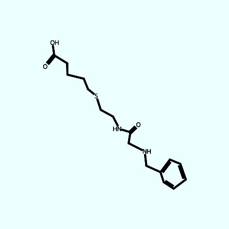 O=C(O)CCCCSCCNC(=O)CNCc1ccccc1